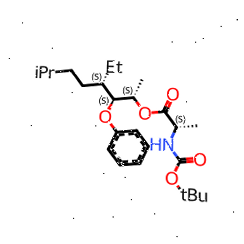 CC[C@@H](CCC(C)C)[C@H](Oc1ccccc1)[C@H](C)OC(=O)[C@H](C)NC(=O)OC(C)(C)C